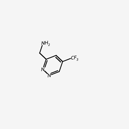 NCc1cc(C(F)(F)F)cnn1